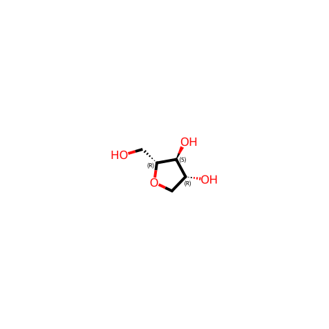 OC[C@H]1OC[C@@H](O)[C@@H]1O